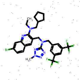 CCN(CC1CCCC1)c1nc2cc(Br)ccc2cc1CN(Cc1cc(C(F)(F)F)cc(C(F)(F)F)c1)c1nnn(C)n1